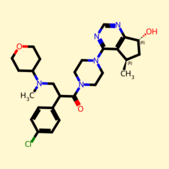 C[C@@H]1C[C@@H](O)c2ncnc(N3CCN(C(=O)C(CN(C)C4CCOCC4)c4ccc(Cl)cc4)CC3)c21